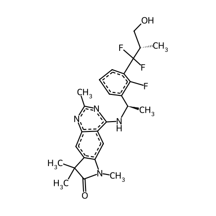 Cc1nc(N[C@H](C)c2cccc(C(F)(F)[C@@H](C)CO)c2F)c2cc3c(cc2n1)C(C)(C)C(=O)N3C